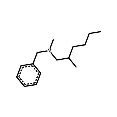 CCCCC(C)CN(C)Cc1ccccc1